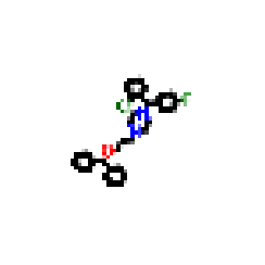 Fc1ccc(C(c2ccccc2Cl)N2CCN(CCCOC(c3ccccc3)c3ccccc3)CC2)cc1